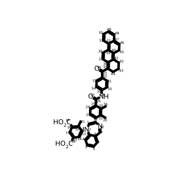 C1=CNc2ccccc2C=N1.Cc1ccc(C(=O)O)cc1C(=O)O.Cc1cccc(C(=O)Nc2ccc(C(=O)C3=c4ccc5c(c4CCC3)CC=c3ccccc3=5)cc2)c1C